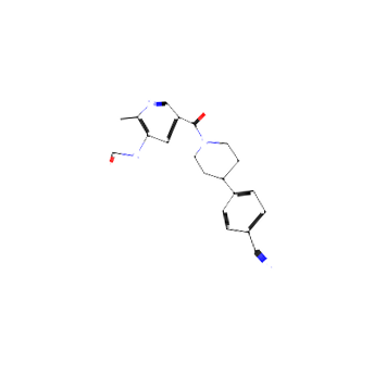 Cc1ncc(C(=O)N2CCC(c3ccc(C#N)cc3)CC2)cc1NC=O